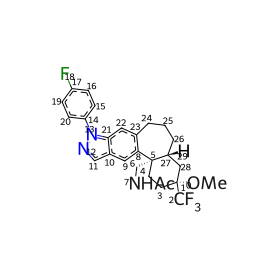 CO[C@]1(C(F)(F)F)CC[C@@]2(CNC(C)=O)c3cc4cnn(-c5ccc(F)cc5)c4cc3CCC[C@@H]2C1